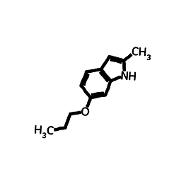 CCCOc1ccc2cc(C)[nH]c2c1